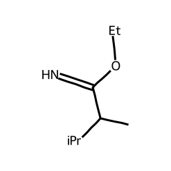 CCOC(=N)C(C)C(C)C